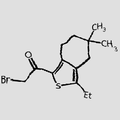 CCc1sc(C(=O)CBr)c2c1CC(C)(C)CC2